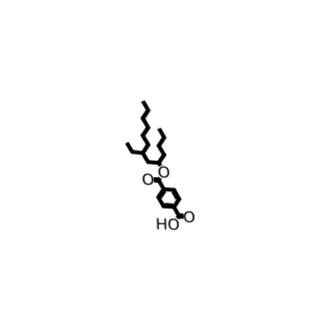 CCCCCCC(CC)CC(CCCC)OC(=O)c1ccc(C(=O)O)cc1